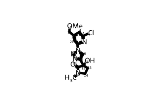 COCc1cc(Cl)nc(-n2cc(C3(O)CCN(C)C3=O)nn2)c1